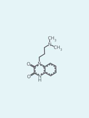 CN(C)CCCn1c(=O)c(=O)[nH]c2ccccc21